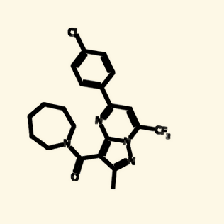 Cc1nn2c(C(F)(F)F)cc(-c3ccc(Cl)cc3)nc2c1C(=O)N1CCCCCC1